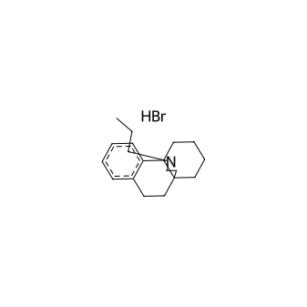 Br.CCCN1CCC23CCCCC12c1ccccc1CC3